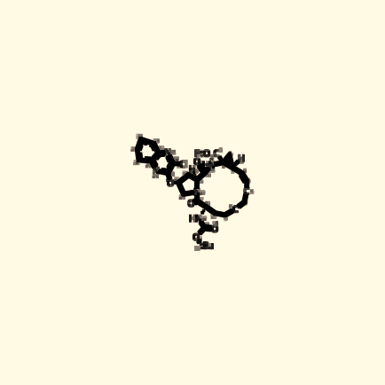 CCOC(=O)[C@@]12C[C@@H]1/C=C\CCCCC[C@H](NC(=O)OC(C)(C)C)C(=O)N1C[C@H](Oc3nc4ccccc4nc3Cl)C[C@H]1C(=O)N2